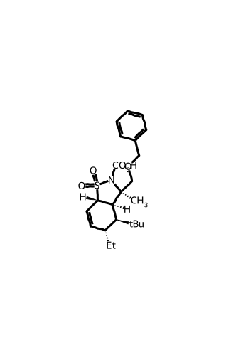 CC[C@@H]1C=C[C@H]2[C@H]([C@H]1C(C)(C)C)[C@](C)(COCc1ccccc1)N(C(=O)O)S2(=O)=O